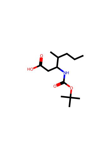 CCCC(C)C(CC(=O)O)NC(=O)OC(C)(C)C